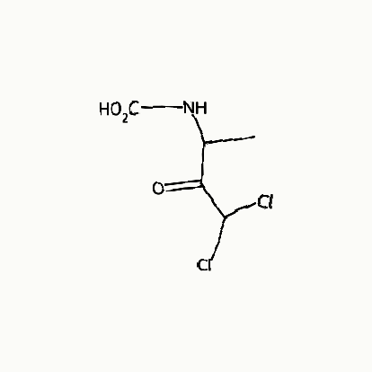 CC(NC(=O)O)C(=O)C(Cl)Cl